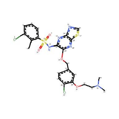 Cc1c(Cl)cccc1S(=O)(=O)Nc1nc2ncsc2nc1OCc1ccc(Cl)c(OCCN(C)C)c1